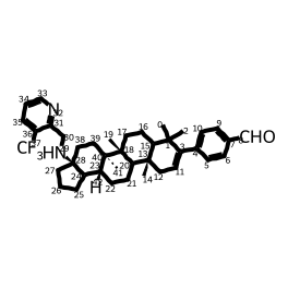 CC1(C)C(c2ccc(C=O)cc2)=CC[C@@]2(C)C1CC[C@]1(C)C2CC[C@@H]2C3CCC[C@]3(NCc3ncccc3C(F)(F)F)CC[C@]21C